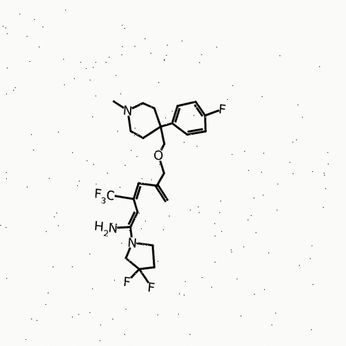 C=C(/C=C(\C=C(/N)N1CCC(F)(F)C1)C(F)(F)F)COCC1(c2ccc(F)cc2)CCN(C)CC1